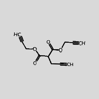 C#CCOC(=O)C(CC#C)C(=O)OCC#C